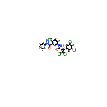 O=C(Nc1ccncn1)c1cc(NC(=O)[C@H]2[C@H](c3cc(Cl)cc(Cl)c3)C2(Cl)Cl)ccc1Cl